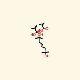 C=C(C)C(=O)O.C=C(C)C(=O)O.CC(C)(O)CCCCC(C)(C)O